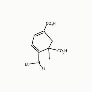 CCN(CC)C1=CC=C(C(=O)O)CC1(C)C(=O)O